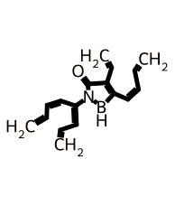 C=C/C=C\C1=C(C=C)C(=O)N(C(/C=C\C=C)=C/C=C)B1